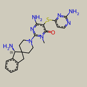 Cn1c(N2CCC3(CC2)Cc2ccccc2[C@H]3N)nc(N)c(Sc2ccnc(N)n2)c1=O